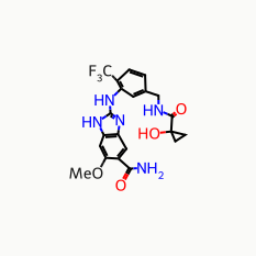 COc1cc2[nH]c(Nc3cc(CNC(=O)C4(O)CC4)ccc3C(F)(F)F)nc2cc1C(N)=O